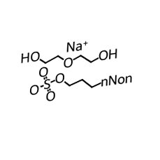 CCCCCCCCCCCCOS(=O)(=O)[O-].OCCOCCO.[Na+]